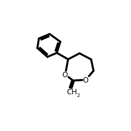 C=C1OCCCC(c2ccccc2)O1